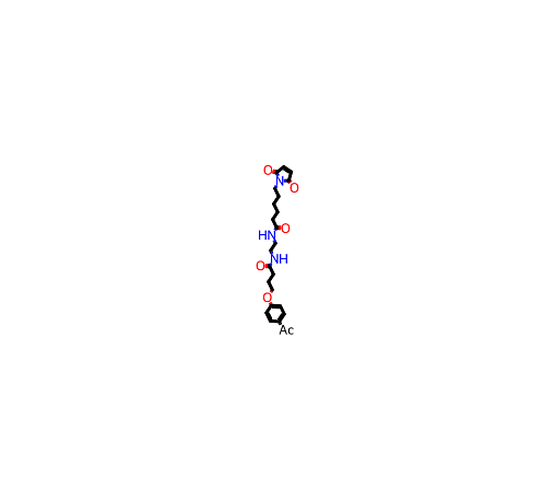 CC(=O)c1ccc(OCCCC(=O)NCCNC(=O)CCCCCN2C(=O)C=CC2=O)cc1